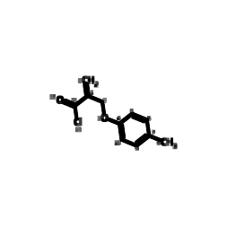 C=C(COc1ccc(C)cc1)C(=O)Cl